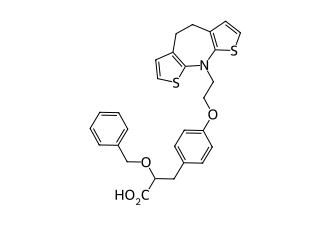 O=C(O)C(Cc1ccc(OCCN2c3sccc3CCc3ccsc32)cc1)OCc1ccccc1